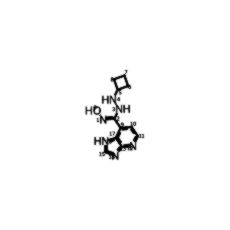 ON=C(NNC1CCC1)c1ccnc2nc[nH]c12